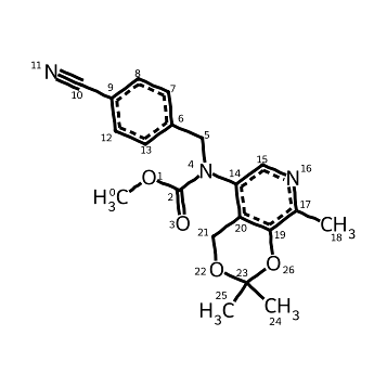 COC(=O)N(Cc1ccc(C#N)cc1)c1cnc(C)c2c1COC(C)(C)O2